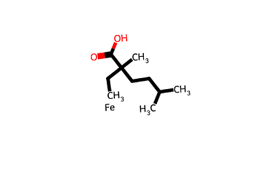 CCC(C)(CCC(C)C)C(=O)O.[Fe]